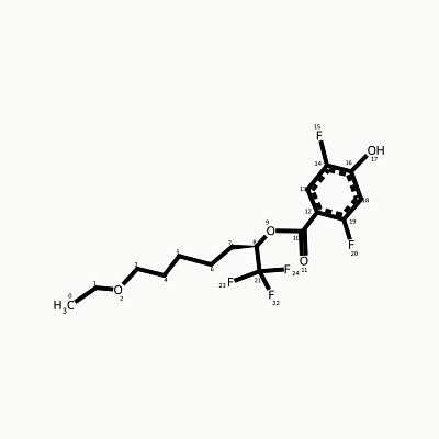 CCOCCCCC[C@@H](OC(=O)c1cc(F)c(O)cc1F)C(F)(F)F